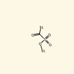 CCOS(=O)(=O)C(=O)CC